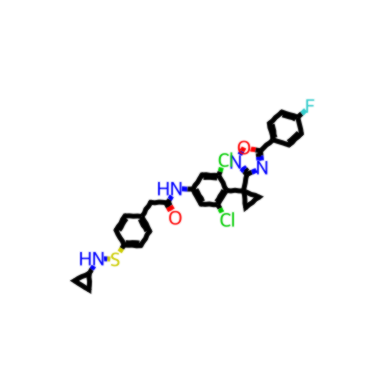 O=C(Cc1ccc(SNC2CC2)cc1)Nc1cc(Cl)c(C2(c3noc(-c4ccc(F)cc4)n3)CC2)c(Cl)c1